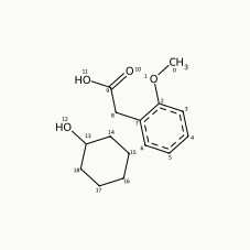 COc1ccccc1CC(=O)O.OC1CCCCC1